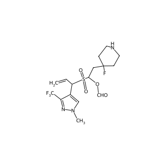 C=CC(c1cn(C)nc1C(F)(F)F)S(=O)(=O)C(CC1(F)CCNCC1)OC=O